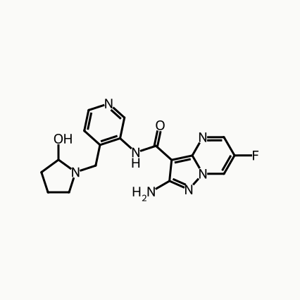 Nc1nn2cc(F)cnc2c1C(=O)Nc1cnccc1CN1CCCC1O